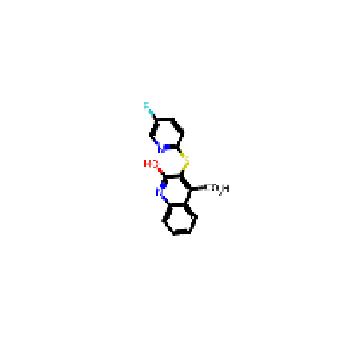 O=C(O)c1c(Sc2ccc(F)cn2)c(O)nc2ccccc12